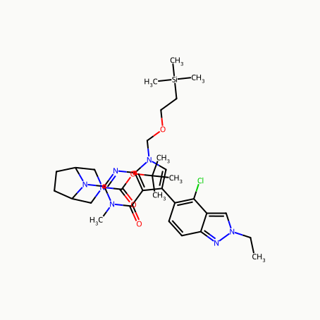 CCn1cc2c(Cl)c(-c3cn(COCC[Si](C)(C)C)c4nc(N5C6CCC5CN(C(=O)OC(C)(C)C)C6)n(C)c(=O)c34)ccc2n1